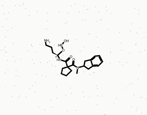 CN(C(=O)C1(C(=O)N[C@@H](CCCN)OBO)CCCC1)C1Cc2ccccc2C1